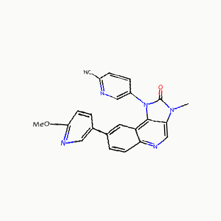 COc1ccc(-c2ccc3ncc4c(c3c2)n(-c2ccc(C#N)nc2)c(=O)n4C)cn1